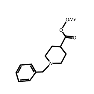 COOC(=O)C1CCN(Cc2ccccc2)CC1